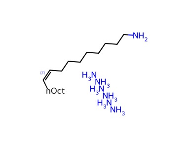 CCCCCCCC/C=C\CCCCCCCCN.N.N.N.N.N.N